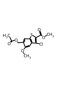 COC(=O)c1sc2cc(COC(C)=O)c(OC)cc2c1Cl